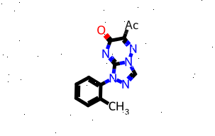 CC(=O)c1nn2cnn(-c3ccccc3C)c2nc1=O